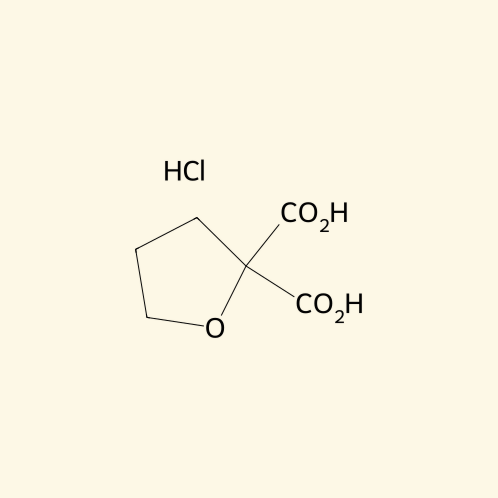 Cl.O=C(O)C1(C(=O)O)CCCO1